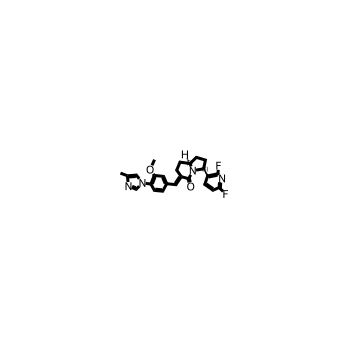 COc1cc(C=C2CC[C@H]3CC[C@@H](c4ccc(F)nc4F)N3C2=O)ccc1-n1cnc(C)c1